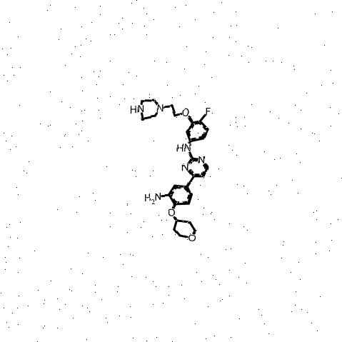 Nc1cc(-c2ccnc(Nc3ccc(F)c(OCCN4CCNCC4)c3)n2)ccc1OC1CCOCC1